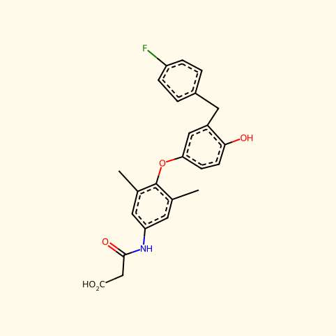 Cc1cc(NC(=O)CC(=O)O)cc(C)c1Oc1ccc(O)c(Cc2ccc(F)cc2)c1